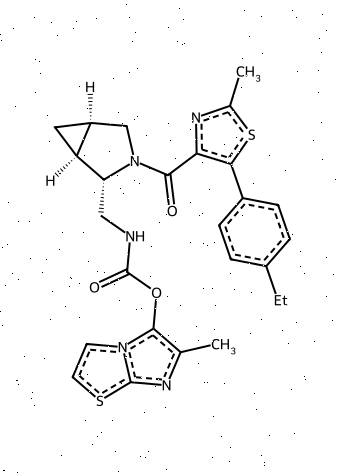 CCc1ccc(-c2sc(C)nc2C(=O)N2C[C@@H]3C[C@@H]3[C@H]2CNC(=O)Oc2c(C)nc3sccn23)cc1